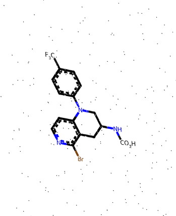 O=C(O)NC1Cc2c(ccnc2Br)N(c2ccc(C(F)(F)F)cc2)C1